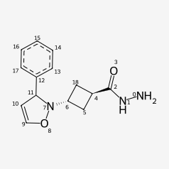 NNC(=O)[C@H]1C[C@H](N2OC=CC2c2ccccc2)C1